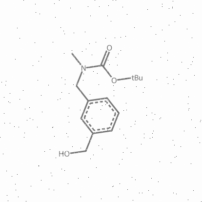 CN(Cc1cccc(CO)c1)C(=O)OC(C)(C)C